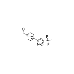 CC(F)(F)c1cc(C23CCC(C=O)(CC2)CC3)no1